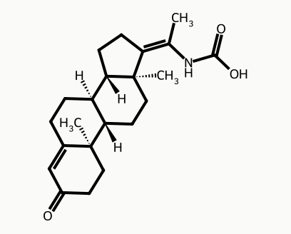 CC(NC(=O)O)=C1CC[C@H]2[C@@H]3CCC4=CC(=O)CC[C@]4(C)[C@H]3CC[C@]12C